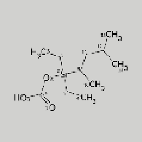 CC[Si](CC)(OC(=O)O)C(C)CC(C)C